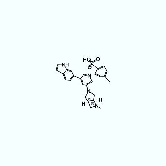 CN1C[C@H]2CN(c3cncc(-c4ccc5cc[nH]c5c4)c3)C[C@H]21.Cc1ccc(S(=O)(=O)O)cc1